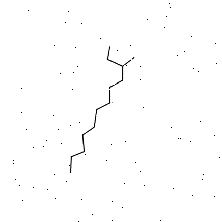 CCCCCC[CH]CCC(C)CC